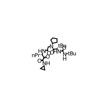 CCC[C@H](NC(=O)CN(C(=O)[C@@H](NC(=O)NC(C)(C)C)C(C)(C)C)C1CCCC1)C(=O)C(=O)NC1CC1